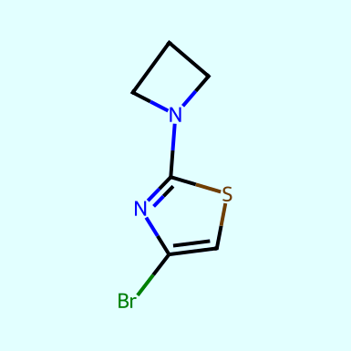 Brc1csc(N2CCC2)n1